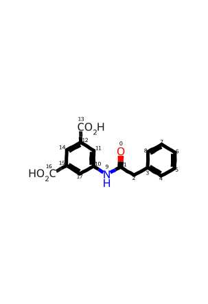 O=C(Cc1ccccc1)Nc1cc(C(=O)O)cc(C(=O)O)c1